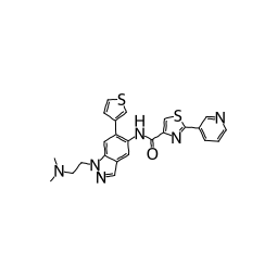 CN(C)CCn1ncc2cc(NC(=O)c3csc(-c4cccnc4)n3)c(-c3ccsc3)cc21